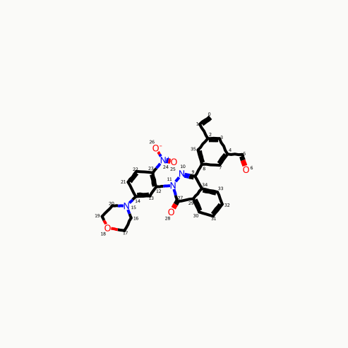 C=Cc1cc(C=O)cc(-c2nn(-c3cc(N4CCOCC4)ccc3[N+](=O)[O-])c(=O)c3ccccc23)c1